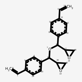 C=Cc1ccc(C(OC(c2ccc(C=C)cc2)C2CO2)C2CO2)cc1